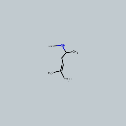 CCCNC(C)CC=C(C)C(=O)O